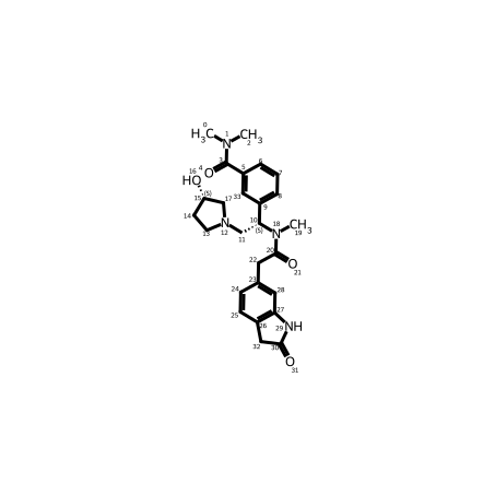 CN(C)C(=O)c1cccc([C@@H](CN2CC[C@H](O)C2)N(C)C(=O)Cc2ccc3c(c2)NC(=O)C3)c1